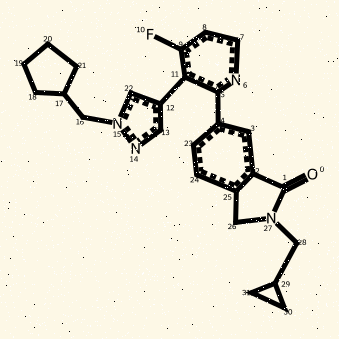 O=C1c2cc(-c3nccc(F)c3-c3cnn(CC4CCCC4)c3)ccc2CN1CC1CC1